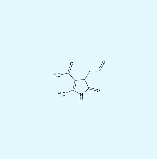 CC(=O)C1=C(C)NC(=O)C1C[C]=O